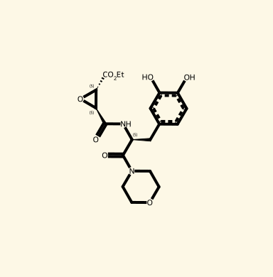 CCOC(=O)[C@H]1O[C@@H]1C(=O)N[C@@H](Cc1ccc(O)c(O)c1)C(=O)N1CCOCC1